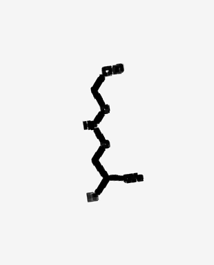 CCC(COPOCC=O)OC